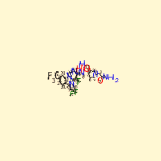 NC(=O)CN1CC[C@H](CNc2ncnc(N3CC(F)(F)C[C@@H]3c3ccc(C(F)(F)F)cc3)c2F)[C@@H](O)C1